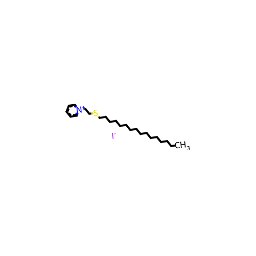 CCCCCCCCCCCCCCCCSCC[n+]1ccccc1.[I-]